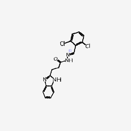 O=C(CCc1nc2ccccc2[nH]1)N/N=C/c1c(Cl)cccc1Cl